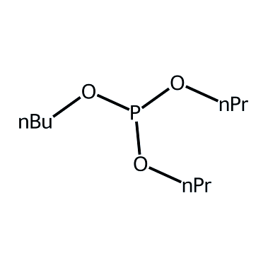 CCCCOP(OCCC)OCCC